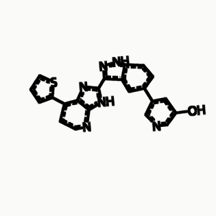 Oc1cncc(-c2ccc3[nH]nc(-c4nc5c(-c6cccs6)ccnc5[nH]4)c3c2)c1